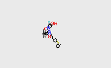 Cc1ccccc1SC1CCC(CCC(=O)Cn2nc(C(=O)N3CC[C@H](O)[C@H](F)C3)c3c2C[C@H]2[C@@H](C)[C@@H]32)CC1